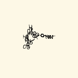 COc1ccc(C[C@H]2NC(=O)/C=C/C[C@@H]([C@H](C)[C@H]3O[C@@H]3c3ccc(CN=[N+]=[N-])cc3)OC(=O)[C@H](CC(C)(C)C)NC(=O)C(C)(C)C(C)NC2=O)cc1Cl